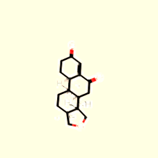 C[C@]12CC[C@H]3[C@@H](CC(=O)C4=CC(=O)CC[C@@]43C)[C@@H]1COC2